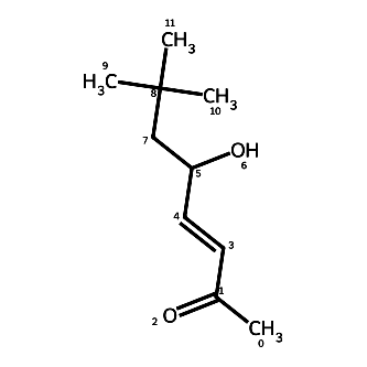 CC(=O)C=CC(O)CC(C)(C)C